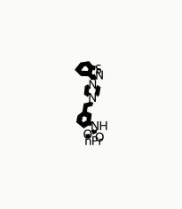 CCCOC(=O)Nc1cccc(CCN2CCN(c3nsc4ccccc34)CC2)c1